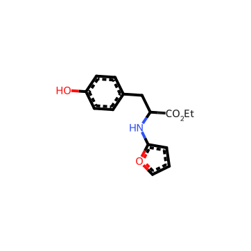 CCOC(=O)C(Cc1ccc(O)cc1)Nc1ccco1